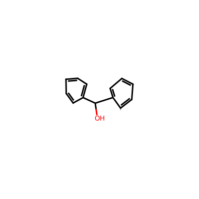 OC(c1[c]cccc1)c1ccccc1